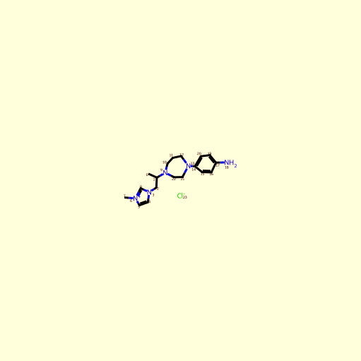 CC(Cn1cc[n+](C)c1)N1CCCN(c2ccc(N)cc2)CC1.[Cl-]